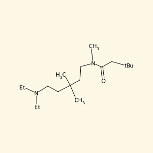 CCN(CC)CCC(C)(C)CCN(C)C(=O)CC(C)(C)C